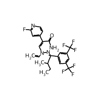 C=CN(/C=C(\C(N)=O)c1ccnc(F)c1)/N=C(/c1cc(C(F)(F)F)cc(C(F)(F)F)c1)C(C)CC